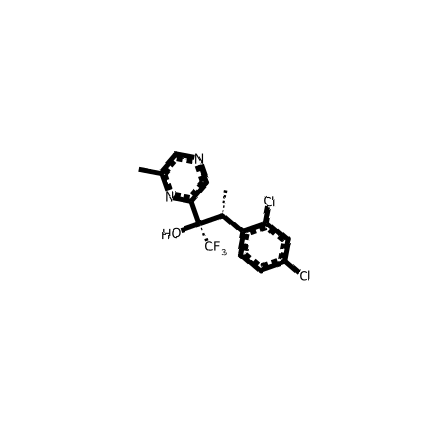 Cc1cncc([C@](O)([C@H](C)c2ccc(Cl)cc2Cl)C(F)(F)F)n1